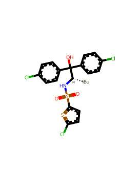 CCC(C)[C@H](NS(=O)(=O)c1ccc(Cl)s1)C(O)(c1ccc(Cl)cc1)c1ccc(Cl)cc1